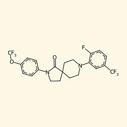 O=C1N(c2ccc(OC(F)(F)F)cc2)CCC12CCN(c1cc(C(F)(F)F)ccc1F)CC2